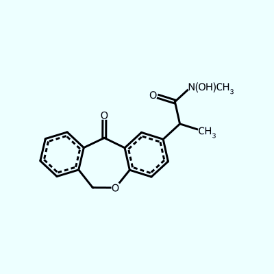 CC(C(=O)N(C)O)c1ccc2c(c1)C(=O)c1ccccc1CO2